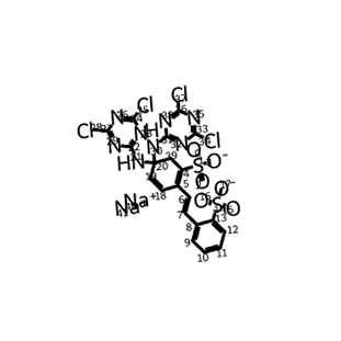 O=S(=O)([O-])C1=C(C=Cc2ccccc2S(=O)(=O)[O-])C=CC(Nc2nc(Cl)nc(Cl)n2)(Nc2nc(Cl)nc(Cl)n2)C1.[Na+].[Na+]